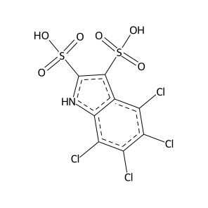 O=S(=O)(O)c1[nH]c2c(Cl)c(Cl)c(Cl)c(Cl)c2c1S(=O)(=O)O